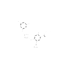 CC(C)(C)OC(=O)c1cc(C2CC2)c(CN2CC(Oc3cc(Cl)cc(Cl)c3)C2)cc1F